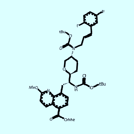 COC(=O)c1ccc(C[C@@H](NC(=O)OC(C)(C)C)[C@@H]2CC[C@@H](N(CC=Cc3cc(F)ccc3F)C(=O)OC(C)(C)C)CO2)c2nc(OC)ccc12